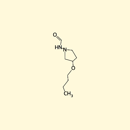 CCCCOC1CCN(NC=O)C1